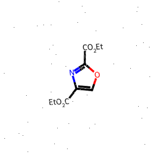 CCOC(=O)c1coc(C(=O)OCC)n1